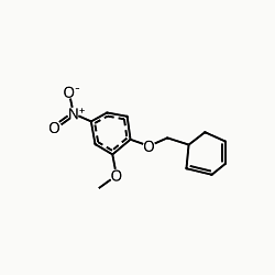 COc1cc([N+](=O)[O-])ccc1OCC1C=CC=CC1